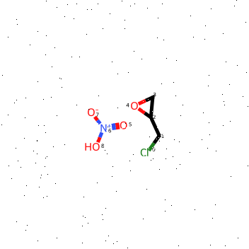 ClCC1CO1.O=[N+]([O-])O